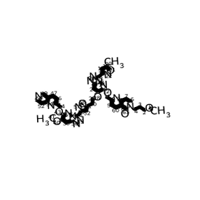 COCCCn1ccc2nc(COc3nn4c(-c5cc(C)on5)nnc4cc3OCCc3cc(-c4nnc5cc(OC)c(OCc6ccc7cnccc7n6)nn45)no3)ccc2c1=O